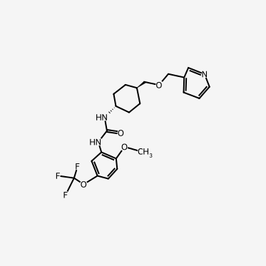 COc1ccc(OC(F)(F)F)cc1NC(=O)N[C@H]1CC[C@H](COCc2cccnc2)CC1